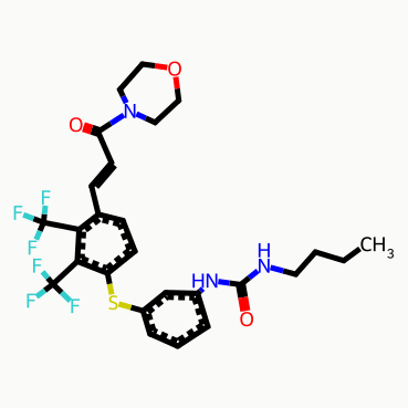 CCCCNC(=O)Nc1cccc(Sc2ccc(C=CC(=O)N3CCOCC3)c(C(F)(F)F)c2C(F)(F)F)c1